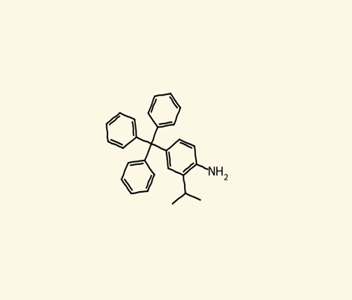 CC(C)c1cc(C(c2ccccc2)(c2ccccc2)c2ccccc2)ccc1N